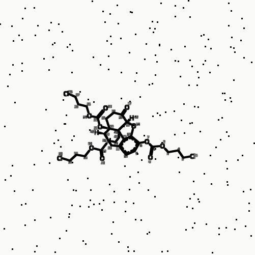 O=C(OCCCCl)Oc1ccc2c3c1O[C@H]1C(=O)CC[C@@]4(OC(=O)OCCCCl)[C@@H](C2)N(C(=O)OCCCCl)CC[C@]314